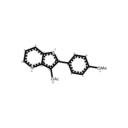 COc1ccc(-c2sc3cccnc3c2OC(C)=O)cc1